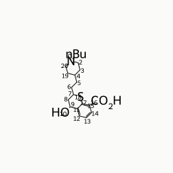 CCCCN1CCC(CCC2CC(O)c3cccc(C(=O)O)c3S2)CC1